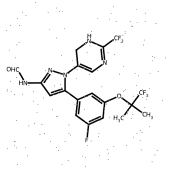 CC(C)(Oc1cc(F)cc(-c2cc(NC=O)nn2C2=CN=C(C(F)(F)F)NC2)c1)C(F)(F)F